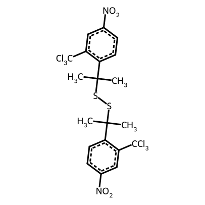 CC(C)(SSC(C)(C)c1ccc([N+](=O)[O-])cc1C(Cl)(Cl)Cl)c1ccc([N+](=O)[O-])cc1C(Cl)(Cl)Cl